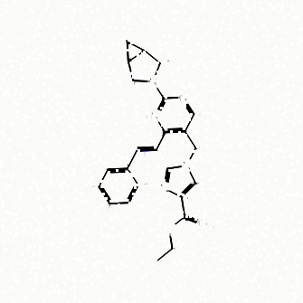 CCOC(=O)c1cn(Cc2cnc(N3CC4CC4C3)nc2/C=C/c2ccccc2)cn1